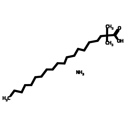 CCCCCCCCCCCCCCCCCCC(C)(C)C(=O)O.N